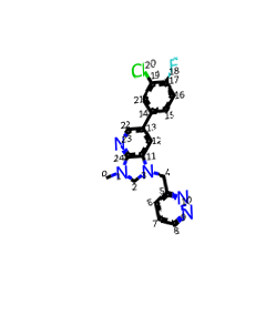 CN1CN(Cc2cccnn2)c2cc(-c3ccc(F)c(Cl)c3)cnc21